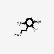 CCCCCCCCCc1c([N+](=O)[O-])ccc(O)c1O